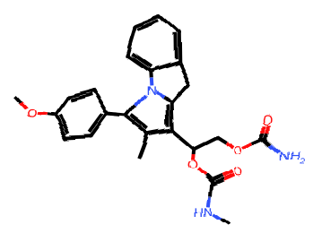 CNC(=O)OC(COC(N)=O)c1c(C)c(-c2ccc(OC)cc2)n2c1Cc1ccccc1-2